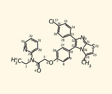 CCN(C(=O)COc1ccc(-c2c(-c3ccc(Cl)cc3)nc3scc(C)n23)cc1)c1ccccn1